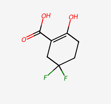 O=C(O)C1=C(O)CCC(F)(F)C1